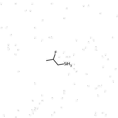 CC(F)C[SiH3]